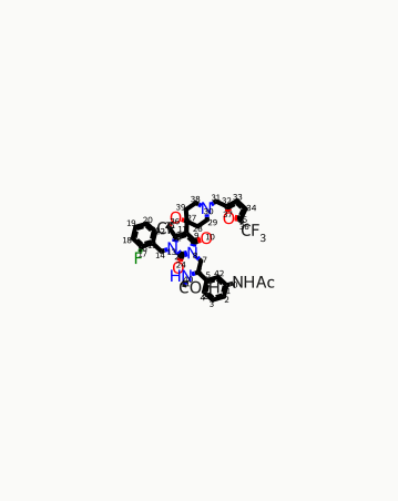 CC(=O)Nc1cccc(C(Cn2c(=O)c3c(n(Cc4c(F)cccc4C(F)(F)F)c2=O)COC32CCN(Cc3ccc(C(F)(F)F)o3)CC2)NC(=O)O)c1